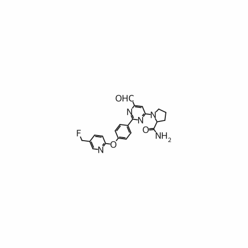 NC(=O)C1CCCN1c1cc(C=O)nc(-c2ccc(Oc3ccc(CF)cn3)cc2)n1